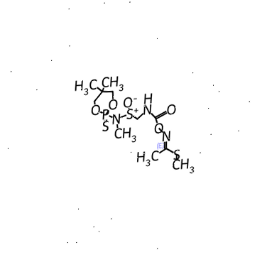 CS/C(C)=N/OC(=O)NC[S+]([O-])N(C)P1(=S)OCC(C)(C)CO1